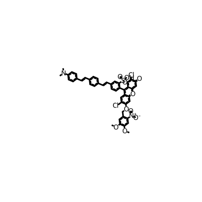 COc1cc(COc2cc3oc4cc(=O)c(Cl)cc-4c(-c4ccc(C=Cc5ccc(C=Cc6ccc(N(C)C)cc6)cc5)cc4S(=O)(=O)O)c3cc2Cl)c([N+](=O)[O-])cc1OC